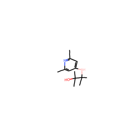 Cc1cc(BC(C)(C)C(C)(C)O)cc(C)n1